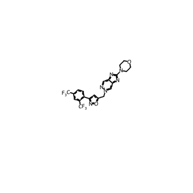 FC(F)(F)c1ccc(-c2cc(Cn3cc4nc(N5CCOCC5)nc-4cn3)on2)c(C(F)(F)F)c1